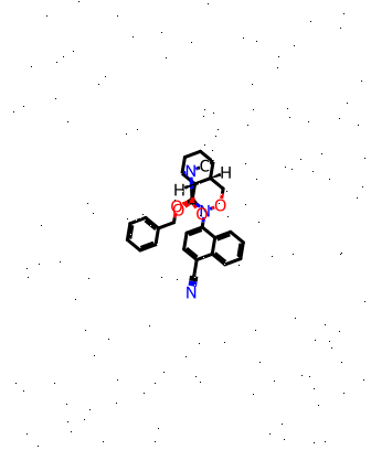 N#Cc1ccc(N2OC[C@H]3C4CCC([C@H]3C2=O)N(C(=O)OCc2ccccc2)C4)c2ccccc12